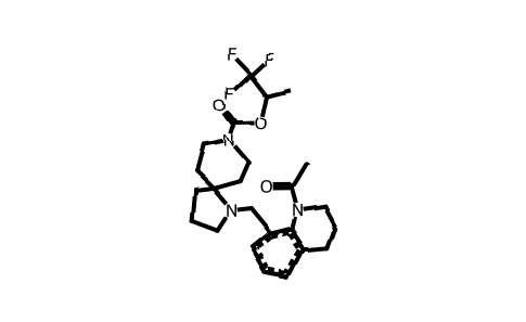 CC(=O)N1CCCc2cccc(CN3CCCC34CCN(C(=O)OC(C)C(F)(F)F)CC4)c21